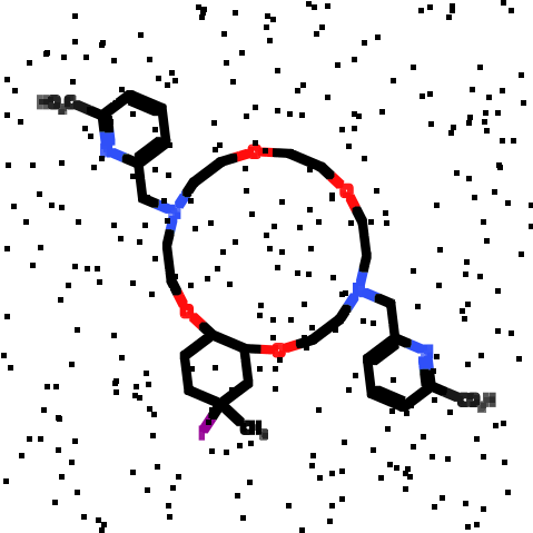 CC1(I)CCC2OCCN(Cc3cccc(C(=O)O)n3)CCOCCOCCN(Cc3cccc(C(=O)O)n3)CCOC2C1